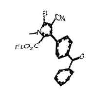 CCOC(=O)c1c(-c2ccc(C(=O)c3ccccc3)cc2)c(C#N)c(CC)n1C